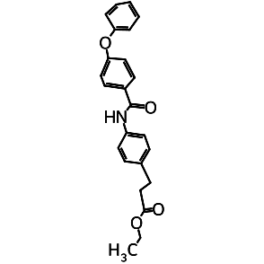 CCOC(=O)CCc1ccc(NC(=O)c2ccc(Oc3ccccc3)cc2)cc1